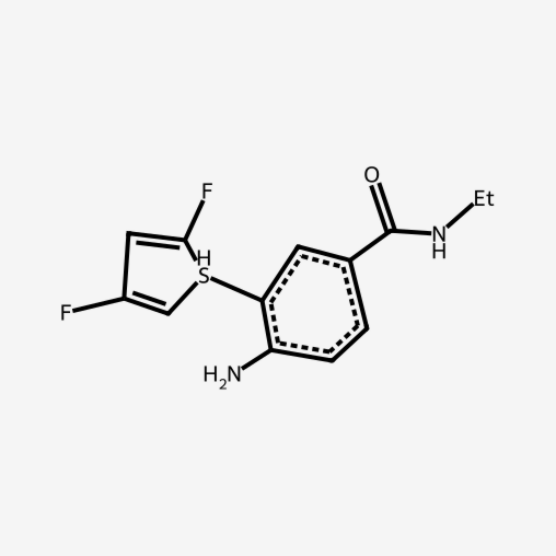 CCNC(=O)c1ccc(N)c([SH]2C=C(F)C=C2F)c1